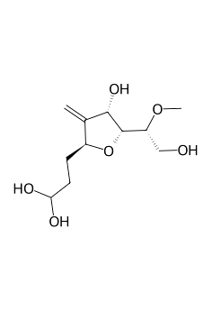 C=C1[C@H](CCC(O)O)O[C@@H]([C@@H](CO)OC)[C@H]1O